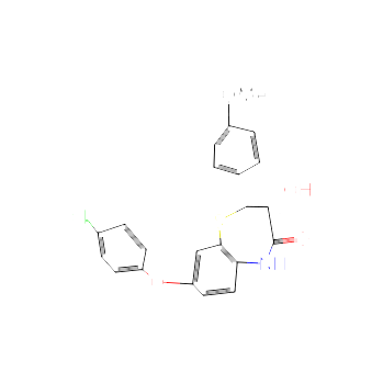 COc1ccc([C@H]2Sc3cc(Oc4ccc(Cl)cc4)ccc3NC(=O)[C@H]2O)cc1